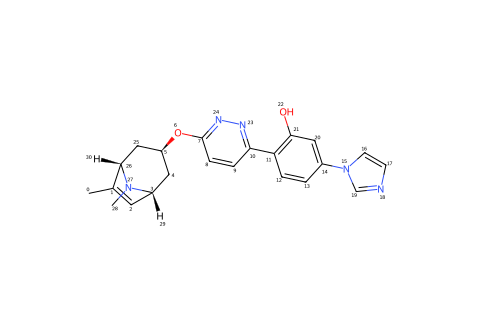 CC1=C[C@H]2C[C@H](Oc3ccc(-c4ccc(-n5ccnc5)cc4O)nn3)C[C@@H]1N2C